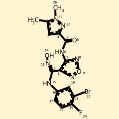 Cc1cc(C(=O)Nc2nonc2/C(=N\O)Nc2ccc(F)c(Br)c2)nn1C